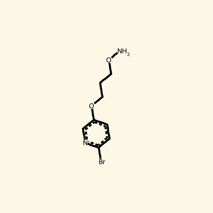 NOCCCOc1ccc(Br)nc1